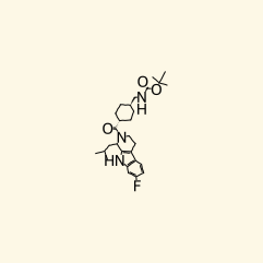 CC(C)CC1c2[nH]c3cc(F)ccc3c2CCN1C(=O)[C@H]1CC[C@H](CNC(=O)OC(C)(C)C)CC1